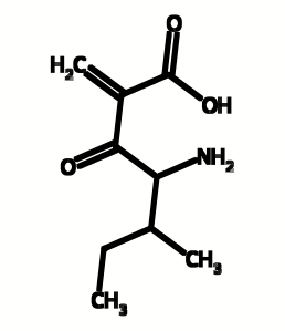 C=C(C(=O)O)C(=O)C(N)C(C)CC